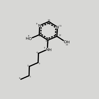 CCCCCNc1c(O)ncnc1O